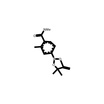 C=C1OB(c2ccc(C(=O)NC)c(C)c2)OC1(C)C